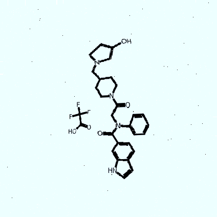 O=C(CN(C(=O)c1ccc2cc[nH]c2c1)c1ccccc1)N1CCC(CN2CCC(O)C2)CC1.O=C(O)C(F)(F)F